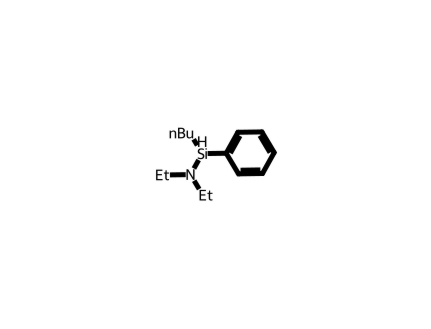 CCCC[SiH](c1ccccc1)N(CC)CC